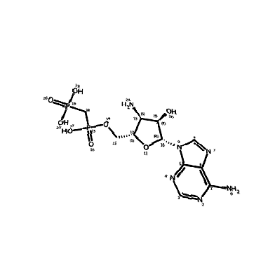 Nc1ncnc2c1ncn2[C@@H]1O[C@H](COP(=O)(O)CP(=O)(O)O)[C@@H](N)[C@H]1O